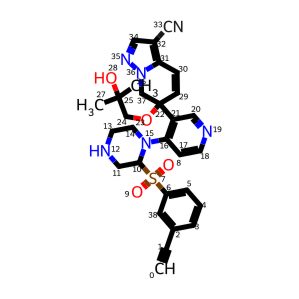 C#Cc1cccc(S(=O)(=O)C2CNCCN2c2ccncc2C2(OCC(C)(C)O)C=Cc3c(C#N)cnn3C2)c1